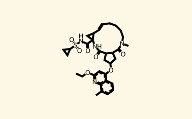 CCOc1cc(OC2CC3C(=O)NC4(C(=O)NS(=O)(=O)C5CC5)CC4/C=C/CCCCN(C)C(=O)C3C2)c2cccc(C)c2n1